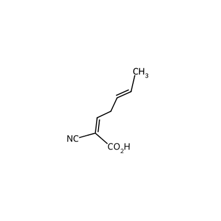 CC=CCC=C(C#N)C(=O)O